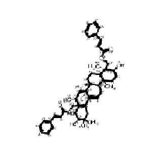 CC1(C)CC2C3=CCC4[C@@]5(C)CC[C@H](O)[C@](C)(COC(=O)/C=C/c6ccccc6)C5CC[C@@]4(C)[C@]3(C)C[C@@H](O)[C@@]2(COC(=O)/C=C/c2ccccc2)[C@@H](O)[C@@H]1O